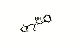 NN(Cc1ccccc1)C(=O)Cc1nccs1